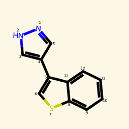 [c]1n[nH]cc1-c1csc2ccccc12